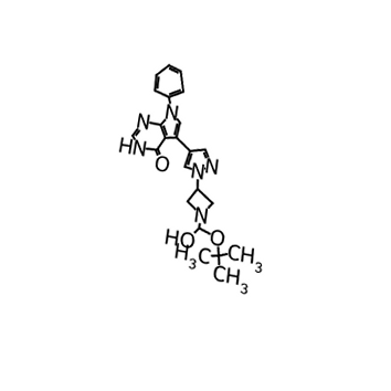 CC(C)(C)OC(O)N1CC(n2cc(-c3cn(-c4ccccc4)c4nc[nH]c(=O)c34)cn2)C1